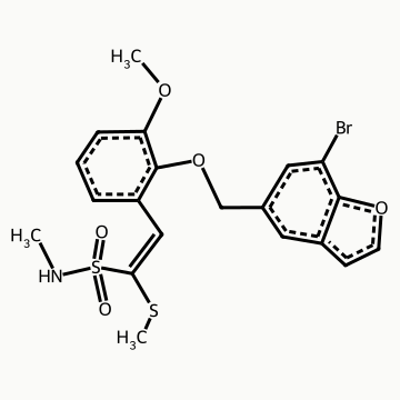 CNS(=O)(=O)C(=Cc1cccc(OC)c1OCc1cc(Br)c2occc2c1)SC